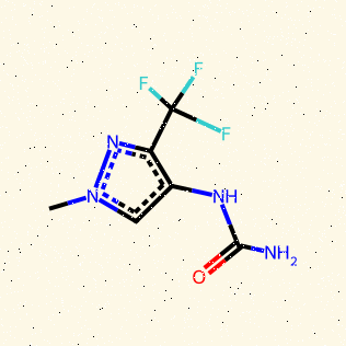 Cn1cc(NC(N)=O)c(C(F)(F)F)n1